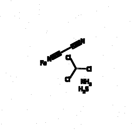 ClC(Cl)Cl.N.N#CC#N.S.[Fe]